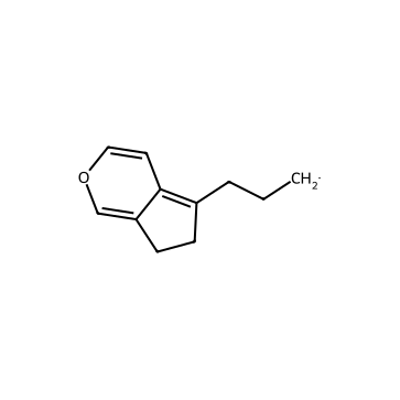 [CH2]CCC1=C2C=COC=C2CC1